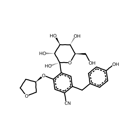 N#Cc1cc(O[C@@H]2CCOC2)c([C@]2(O)O[C@H](CO)[C@@H](O)[C@H](O)[C@H]2O)cc1Cc1ccc(O)cc1